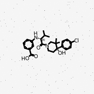 CC(C)[C@@H](Nc1cccc(C(=O)O)c1)C(=O)N1CC[C@](O)(c2ccc(Cl)cc2)C(C)(C)C1